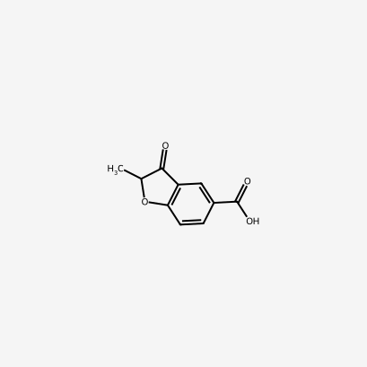 CC1Oc2ccc(C(=O)O)cc2C1=O